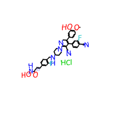 COc1ccc(-c2cnc(N3CCC(NCc4ccc(/C=C/C(=O)NO)cc4F)CC3)c(C#N)c2-c2ccc(C#N)c(F)c2)cc1O.Cl